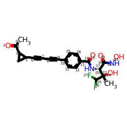 CC(=O)C1CC1C#CC#Cc1ccc(C(=O)N[C@H](C(=O)NO)C(C)(O)C(F)F)cc1